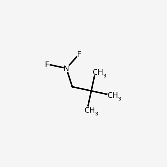 CC(C)(C)CN(F)F